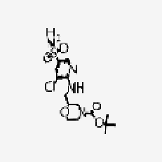 CC(C)(C)OC(=O)N1CCOC(CNc2ncc(S(N)(=O)=O)cc2Cl)C1